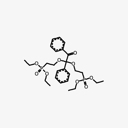 CCOP(=O)(CCOC(OCCP(=O)(OCC)OCC)(C(=O)c1ccccc1)c1ccccc1)OCC